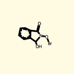 O=C1c2ccccc2C(O)N1OBr